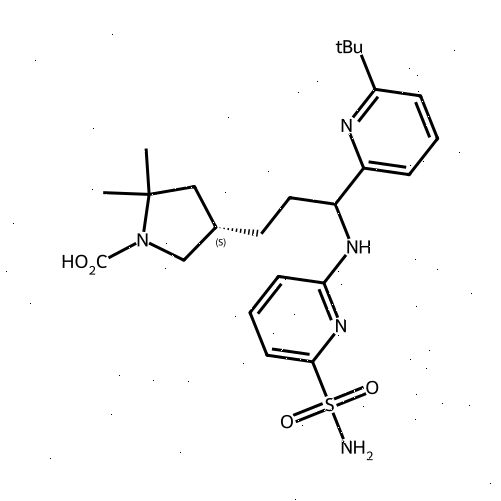 CC(C)(C)c1cccc(C(CC[C@@H]2CN(C(=O)O)C(C)(C)C2)Nc2cccc(S(N)(=O)=O)n2)n1